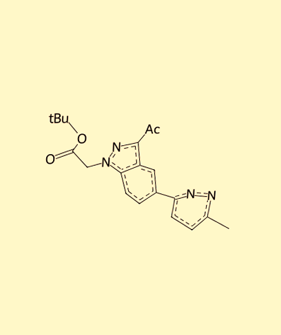 CC(=O)c1nn(CC(=O)OC(C)(C)C)c2ccc(-c3ccc(C)nn3)cc12